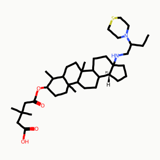 CCC(CNC12CCC[C@@H]1C1CCC3C4(C)CCC(OC(=O)CC(C)(C)CC(=O)O)C(C)C4CCC3(C)C1CC2)N1CCSCC1